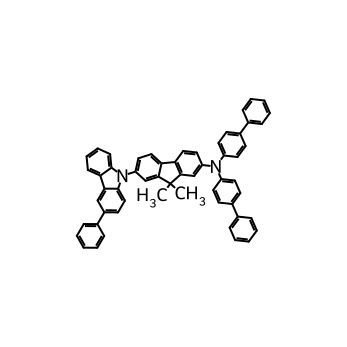 CC1(C)c2cc(N(c3ccc(-c4ccccc4)cc3)c3ccc(-c4ccccc4)cc3)ccc2-c2ccc(-n3c4ccccc4c4cc(-c5ccccc5)ccc43)cc21